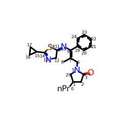 CCCC1CC(=O)N(C/C(C)=C(/N=C2\CN=C(C3CC3)S2)c2ccccc2)C1